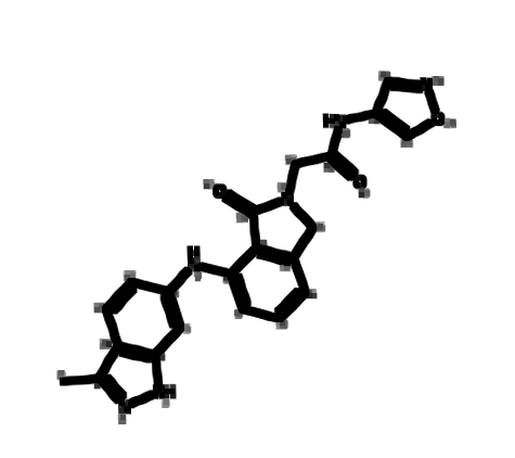 Cc1n[nH]c2cc(Nc3cccc4c3C(=O)N(CC(=O)Nc3cnoc3)C4)ccc12